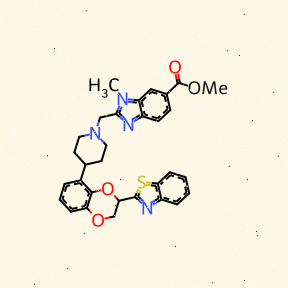 COC(=O)c1ccc2nc(CN3CCC(c4cccc5c4OC(c4nc6ccccc6s4)CO5)CC3)n(C)c2c1